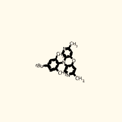 Cc1cc2c(cn1)N(c1c(C)cc(C(C)(C)C)cc1C)c1cnc(C)cc1O2